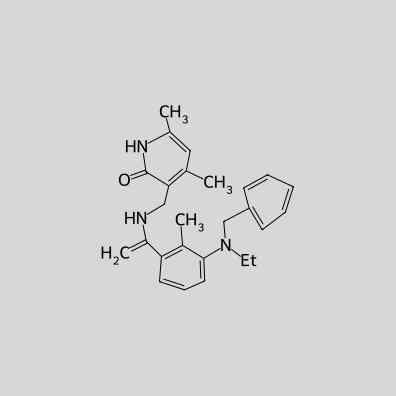 C=C(NCc1c(C)cc(C)[nH]c1=O)c1cccc(N(CC)Cc2ccccc2)c1C